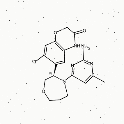 Cc1cc(N2CCCOC[C@H]2c2cc3c(cc2Cl)OCC(=O)N3)nc(N)n1